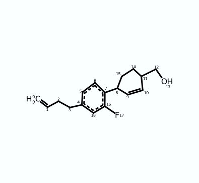 C=CCCc1ccc(C2C=CC(CO)CC2)c(F)c1